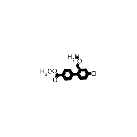 COC(=O)c1ccc(-c2ccc(Cl)cc2CON)cc1